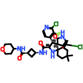 CC1(C)CCC2(CC1)N[C@@H](C(=O)N[C@H]1C[C@H](C(=O)NC3CCOCC3)C1)[C@H](c1ccnc(Cl)c1F)[C@]21C(=O)Nc2cc(Cl)ccc21